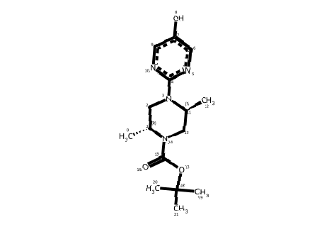 C[C@@H]1CN(c2ncc(O)cn2)[C@@H](C)CN1C(=O)OC(C)(C)C